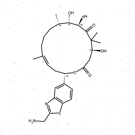 CCC[C@H]1C(=O)C(C)(C)[C@@H](O)CC(=O)O[C@H](c2ccc3sc(CN)nc3c2)C/C=C(/C)CCC[C@H](C)[C@@H]1O